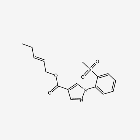 CC/C=C/COC(=O)c1cnn(-c2ccccc2S(C)(=O)=O)c1